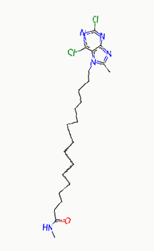 CNC(=O)CCCCCCCCCCCCCCCn1c(C)nc2nc(Cl)nc(Cl)c21